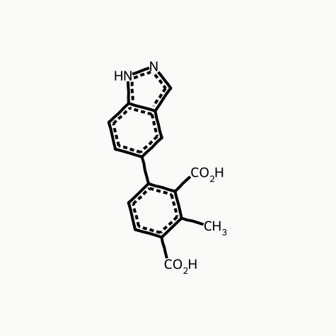 Cc1c(C(=O)O)ccc(-c2ccc3[nH]ncc3c2)c1C(=O)O